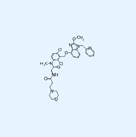 COc1nc2c(OCc3c(Cl)ccc(N(C)C(=O)CNC(=O)CCN4CCOCC4)c3Cl)cccc2n1Cc1ccccn1